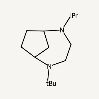 CC(C)N1CCN(C(C)(C)C)C2CCC1C2